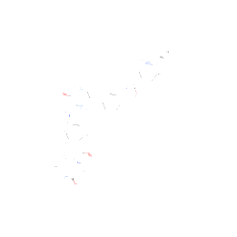 Cc1c(NC(=O)c2ccc(C(C)(C)C)nc2)cccc1-c1cn(C)c(=O)c(Nc2ccc(C(=O)N3CCNC(=O)C3)cc2)n1